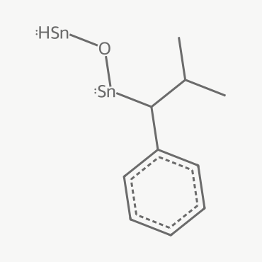 CC(C)[CH]([Sn][O][SnH])c1ccccc1